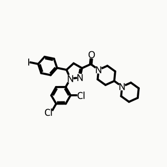 O=C(C1=NN(c2ccc(Cl)cc2Cl)C(c2ccc(I)cc2)C1)N1CCC(N2CCCCC2)CC1